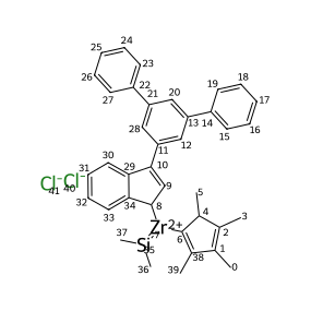 CC1=C(C)C(C)[C]([Zr+2]([CH]2C=C(c3cc(-c4ccccc4)cc(-c4ccccc4)c3)c3ccccc32)=[Si](C)C)=C1C.[Cl-].[Cl-]